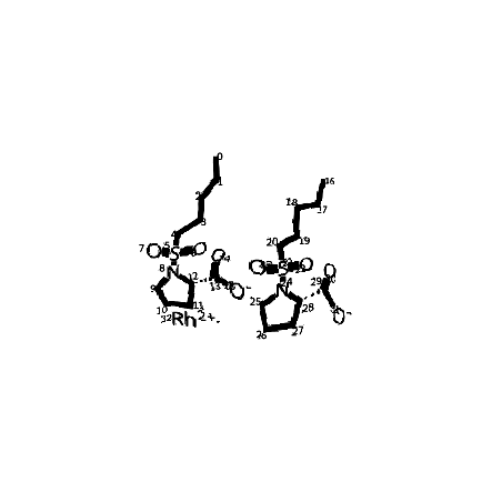 CCCCCS(=O)(=O)N1CCC[C@H]1C(=O)[O-].CCCCCS(=O)(=O)N1CCC[C@H]1C(=O)[O-].[Rh+2]